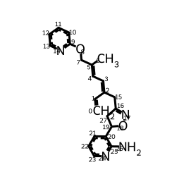 C=C/C(=C\C=C(/C)COc1ccccn1)CC1=NOC(c2cccnc2N)C1